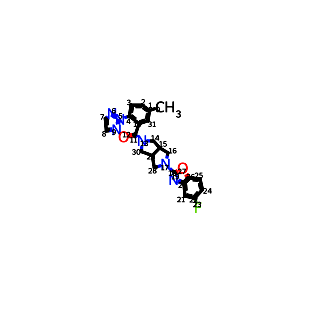 Cc1ccc(-n2nccn2)c(C(=O)N2CC3CN(c4nc5cc(F)ccc5o4)CC3C2)c1